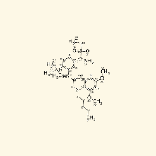 CCCCCC(CC(=O)Nc1cc(C(N)S(=O)(=O)CC)ccc1C(C)(C)C)c1ccc(OC)cc1OC